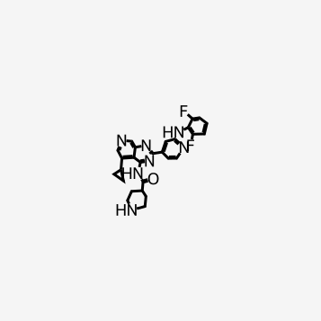 O=C(Nc1nc(-c2ccnc(Nc3c(F)cccc3F)c2)nc2cncc(C3CC3)c12)C1CCNCC1